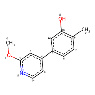 COc1cc(-c2ccc(C)c(O)c2)ccn1